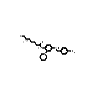 O=C(CCCC[C@H](F)CF)Nc1ccc(NCc2ccc(C(F)(F)F)cc2)cc1N1CCCCC1